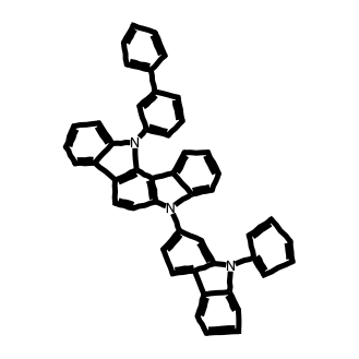 c1ccc(-c2cccc(-n3c4ccccc4c4ccc5c(c6ccccc6n5-c5ccc6c7ccccc7n(-c7ccccc7)c6c5)c43)c2)cc1